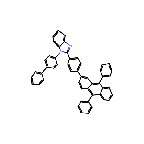 c1ccc(-c2ccc(-n3c(-c4ccc(-c5ccc6c(-c7ccccc7)c7ccccc7c(-c7ccccc7)c6c5)cc4)nc4ccccc43)cc2)cc1